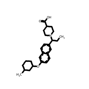 CCC(c1ccc2cc(OC3CCCC(C)C3)ccc2c1)N1CCC(C(=O)O)CC1